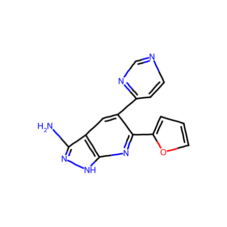 Nc1n[nH]c2nc(-c3ccco3)c(-c3ccncn3)cc12